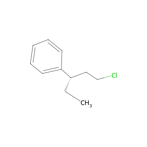 CC[C@@H](CCCl)c1ccccc1